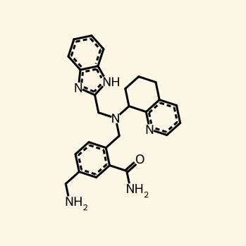 NCc1ccc(CN(Cc2nc3ccccc3[nH]2)C2CCCc3cccnc32)c(C(N)=O)c1